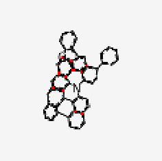 c1ccc(-c2ccc(N(c3ccccc3-c3cccc4c3oc3ccccc34)c3ccccc3-c3cccc4cccc(-c5ccccc5)c34)c(-c3ccccc3)c2)cc1